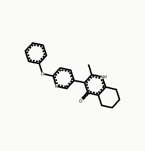 Cc1[nH]c2c(c(=O)c1-c1ccc(Oc3ccccc3)nc1)CCCC2